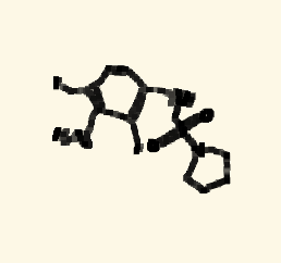 Nc1c(F)ccc(NS(=O)(=O)N2CCCC2)c1F